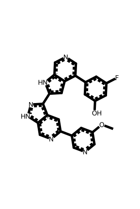 COc1cncc(-c2cc3c(-c4cc5c(-c6cc(O)cc(F)c6)cncc5[nH]4)n[nH]c3cn2)c1